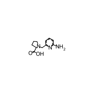 Nc1cccc(CN2CCCC2C(=O)O)n1